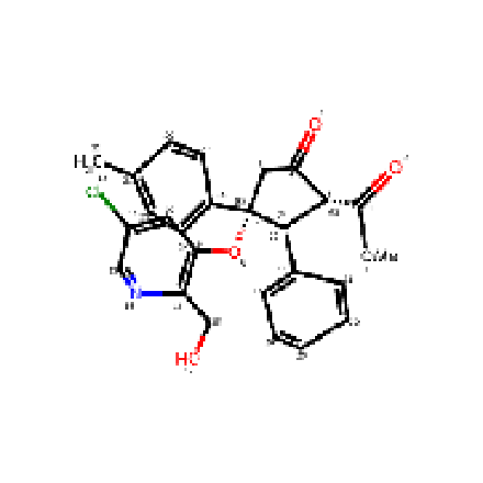 COC(=O)[C@H]1C(=O)C[C@](Oc2cc(Cl)cnc2CO)(c2ccc(C)cc2)[C@@H]1c1ccccc1